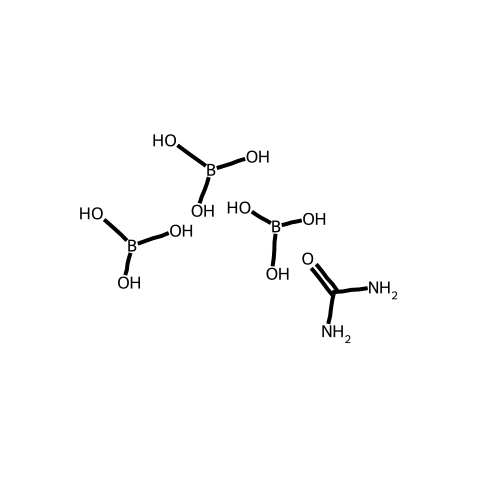 NC(N)=O.OB(O)O.OB(O)O.OB(O)O